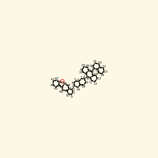 c1cc(-c2ccc3cc(-c4c5ccccc5c(-c5cccc6ccccc56)c5ccccc45)ccc3c2)c2cc3oc4ccccc4c3cc2c1